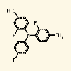 Cc1ccc(N(c2ccc(F)cc2)c2ccc(C)cc2F)c(F)c1